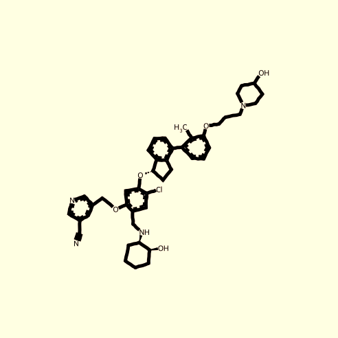 Cc1c(OCCCN2CCC(O)CC2)cccc1-c1cccc2c1CC[C@@H]2Oc1cc(OCc2cncc(C#N)c2)c(CN[C@@H]2CCCC[C@@H]2O)cc1Cl